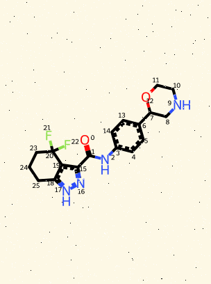 O=C(Nc1ccc(C2CNCCO2)cc1)c1n[nH]c2c1C(F)(F)CCC2